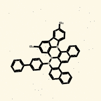 CC(C)(C)c1ccc2c(c1)c1cc(C(C)(C)C)cc3c1n2-c1c2c(cc4ccccc14)-c1c(ccc4ccccc14)N(c1ccc(-c4ccccc4)cc1)B23